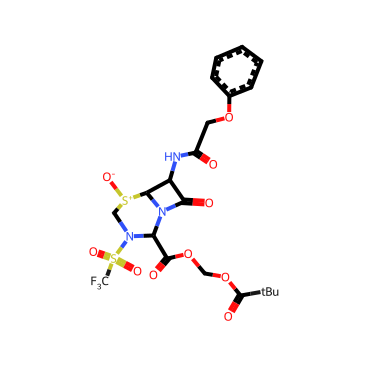 CC(C)(C)C(=O)OCOC(=O)C1N2C(=O)C(NC(=O)COc3ccccc3)C2[S+]([O-])CN1S(=O)(=O)C(F)(F)F